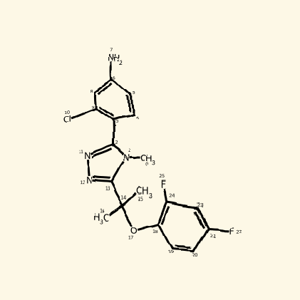 Cn1c(-c2ccc(N)cc2Cl)nnc1C(C)(C)Oc1ccc(F)cc1F